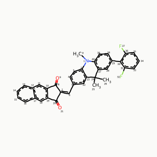 CN1c2ccc(C=C3C(=O)c4cc5ccccc5cc4C3=O)cc2C(C)(C)c2cc(-c3c(F)cccc3F)ccc21